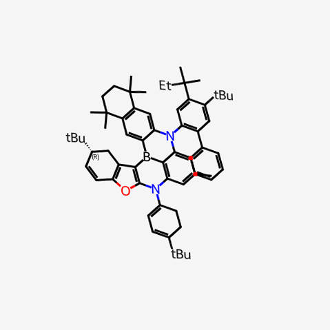 CCC(C)(C)c1cc(N2c3cc4c(cc3B3c5c(cc(C)cc52)N(C2=CC=C(C(C)(C)C)CC2)c2oc5c(c23)C[C@@H](C(C)(C)C)C=C5)C(C)(C)CCC4(C)C)c(-c2ccccc2)cc1C(C)(C)C